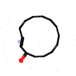 O=C1/C=C/CCCCCCCCCCC1